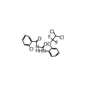 O=C(NC(=O)c1ccccc1Cl)Nc1ccccc1OC(F)(F)C(Cl)Cl